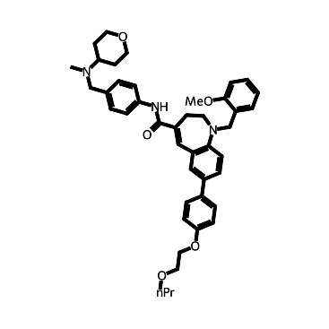 CCCOCCOc1ccc(-c2ccc3c(c2)C=C(C(=O)Nc2ccc(CN(C)C4CCOCC4)cc2)CCN3Cc2ccccc2OC)cc1